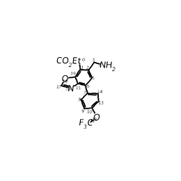 CCOC(=O)c1c(CN)cc(-c2ccc(OC(F)(F)F)cc2)c2ncoc12